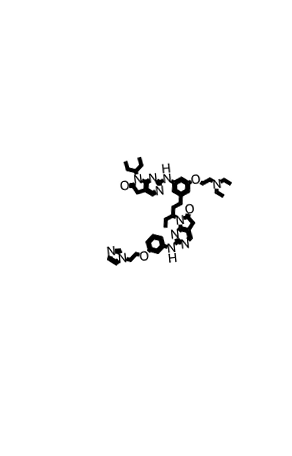 CCC(CC)N1C(=O)Cc2cnc(Nc3cc(CCC(CC)N4C(=O)Cc5cnc(Nc6cccc(OCCn7ccnc7)c6)nc54)cc(OCCN(CC)CC)c3)nc21